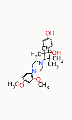 COc1ccc(N2CCN(C3C(C)(C)C(O)(c4ccc(O)cc4)C3(C)C)CC2)c(OC)c1